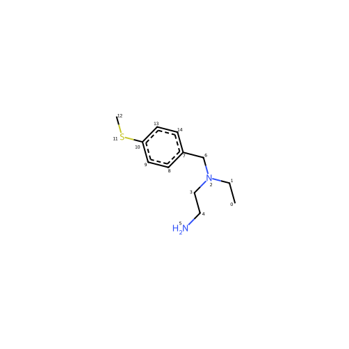 CCN(CCN)Cc1ccc(SC)cc1